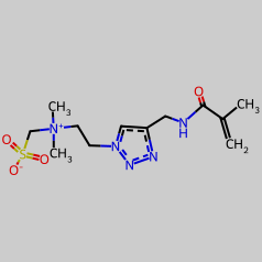 C=C(C)C(=O)NCc1cn(CC[N+](C)(C)CS(=O)(=O)[O-])nn1